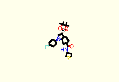 CC1(C)OB(c2cn(-c3ccc(F)cc3)c3cc(C(=O)NC4CCSC4)ccc23)OC1(C)C